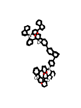 C=C/C(=C(\C=C/C)N(c1ccc(-c2cccc3cc(-c4ccc5c(c4)oc4c(-c6ccccc6N(c6ccc(-c7cccc8ccccc78)cc6)c6cccc7ccccc67)cccc45)ccc23)cc1)c1ccc(-c2cccc3oc4ccccc4c23)cc1)c1cccc2c1oc1ccccc12